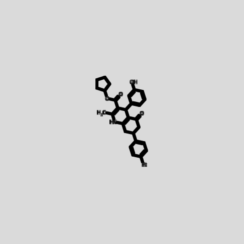 CCc1ccc(C2CC(=O)C3=C(C2)NC(C)=C(C(=O)OC2CCCC2)C3c2cccc(O)c2)cc1